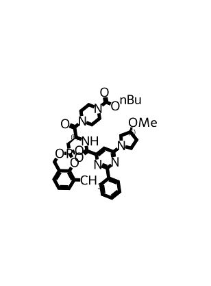 CCCCOC(=O)N1CCN(C(=O)[C@H](CP2(=O)OCc3cccc(C)c3O2)NC(=O)c2cc(N3CC[C@H](OC)C3)nc(-c3ccccc3)n2)CC1